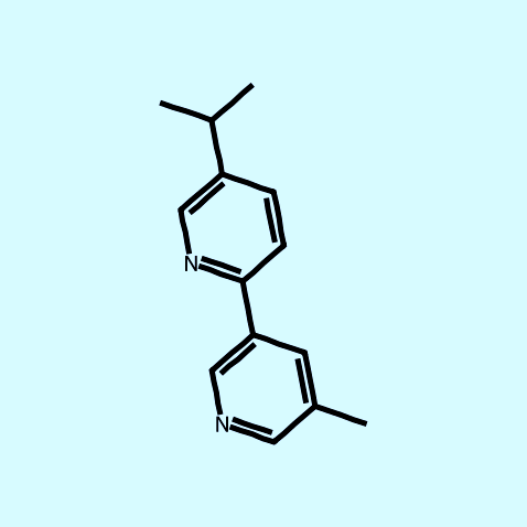 Cc1cncc(-c2ccc(C(C)C)cn2)c1